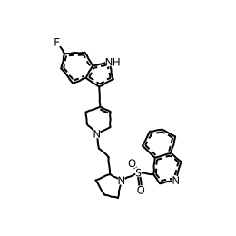 O=S(=O)(c1cncc2ccccc12)N1CCCC1CCN1CC=C(c2c[nH]c3cc(F)ccc23)CC1